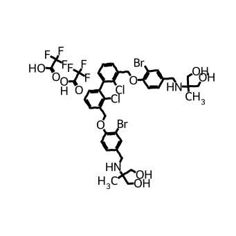 CC(CO)(CO)NCc1ccc(OCc2cccc(-c3cccc(COc4ccc(CNC(C)(CO)CO)cc4Br)c3Cl)c2Cl)c(Br)c1.O=C(O)C(F)(F)F.O=C(O)C(F)(F)F